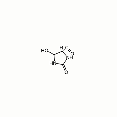 C=O.O=C1NCC(O)N1